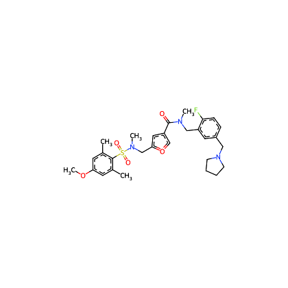 COc1cc(C)c(S(=O)(=O)N(C)Cc2cc(C(=O)N(C)Cc3cc(CN4CCCC4)ccc3F)co2)c(C)c1